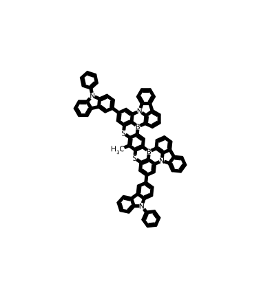 Cc1c2c(cc3c1Sc1cc(-c4ccc5c(c4)c4ccccc4n5-c4ccccc4)cc4c1B3c1cccc3c5ccccc5n-4c13)B1c3c(cc(-c4ccc5c(c4)c4ccccc4n5-c4ccccc4)cc3-n3c4ccccc4c4cccc1c43)S2